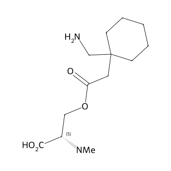 CN[C@@H](COC(=O)CC1(CN)CCCCC1)C(=O)O